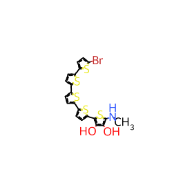 CNc1sc(-c2ccc(-c3ccc(-c4ccc(-c5ccc(Br)s5)s4)s3)s2)c(O)c1O